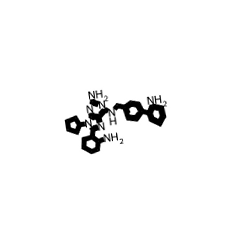 Nc1nc(NCc2ccc(-c3ccccc3N)cc2)c2nc(C3CCCCC3N)n(C3CCCC3)c2n1